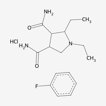 CCC1C(C(N)=O)C(C(N)=O)CN1CC.Cl.Fc1ccccc1